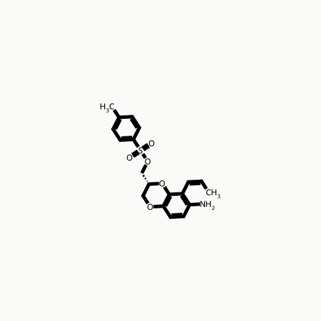 C/C=C\c1c(N)ccc2c1O[C@@H](COS(=O)(=O)c1ccc(C)cc1)CO2